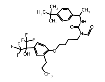 CCCc1cc(C(O)(C(F)(F)F)C(F)(F)F)ccc1OCCCCN(C=O)C(=O)NC(C)c1ccc(C(C)(C)C)cc1